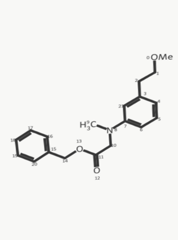 COCCc1cccc(N(C)CC(=O)OCc2ccccc2)c1